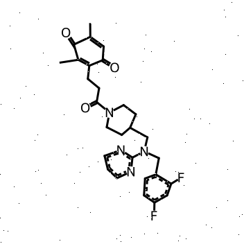 CC1=CC(=O)C(CCC(=O)N2CCC(CN(Cc3ccc(F)cc3F)c3ncccn3)CC2)=C(C)C1=O